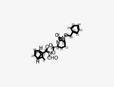 CC1C(C(=O)N(C=O)OC(=O)[C@@H]2CCC3CN2C(=O)N3OCc2ccccc2)[C@@H]2C=C[C@H]1C2